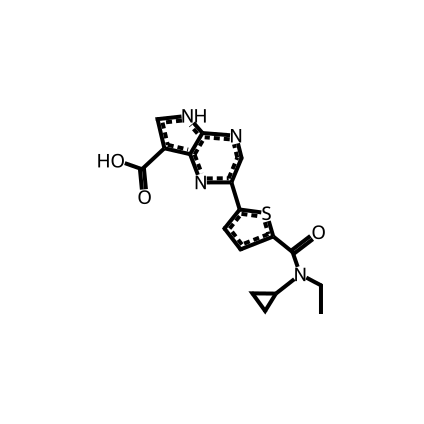 CCN(C(=O)c1ccc(-c2cnc3[nH]cc(C(=O)O)c3n2)s1)C1CC1